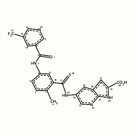 Cc1ccc(NC(=O)c2cncc(C(F)(F)F)c2)cc1C(=S)Nc1cnc2[nH]c(C(=O)O)cc2c1